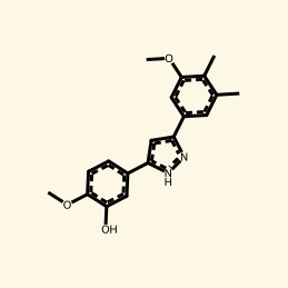 COc1ccc(-c2cc(-c3cc(C)c(C)c(OC)c3)n[nH]2)cc1O